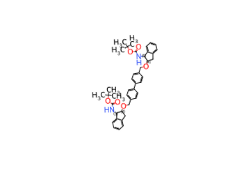 CC(C)(C)OC(=O)N[C@H]1c2ccccc2C[C@H]1OCc1ccc(-c2ccc(CO[C@@H]3Cc4ccccc4[C@@H]3NC(=O)OC(C)(C)C)cc2)cc1